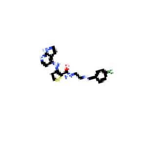 O=C(NCCNCc1ccc(Cl)cc1)c1sccc1Nc1ccnc2[nH]ccc12